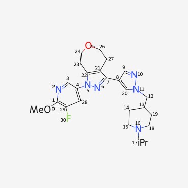 COc1ncc(-n2nc(-c3cnn(CC4CCN(C(C)C)CC4)c3)c3c2CCOCC3)cc1F